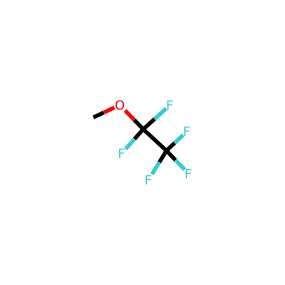 COC(F)(F)C(F)(F)F